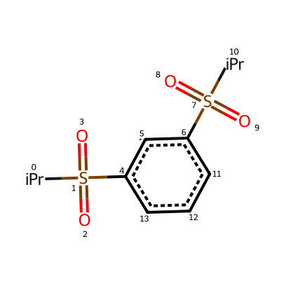 CC(C)S(=O)(=O)c1[c]c(S(=O)(=O)C(C)C)ccc1